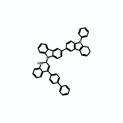 C1=Cc2c(n(-c3ccccc3)c3ccc(-c4ccc5c(c4)c4ccccc4n5C4C=C(c5ccc(-c6ccccc6)cc5)c5ccccc5N4)cc23)CC1